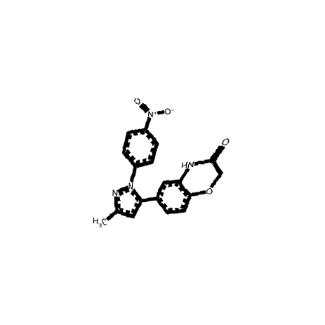 Cc1cc(-c2ccc3c(c2)NC(=O)CO3)n(-c2ccc([N+](=O)[O-])cc2)n1